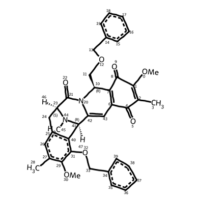 COC1=C(C)C(=O)C2=C(C1=O)[C@H](COCc1ccccc1)N1C(=O)[C@@H]3Cc4cc(C)c(OC)c(OCc5ccccc5)c4[C@H](C1=C2)N3C